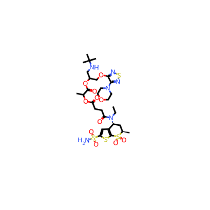 CCN(C(=O)CCC(=O)OC(C)C(=O)OC(CNC(C)(C)C)COc1nsnc1N1CCOCC1)[C@@H]1C[C@@H](C)S(=O)(=O)c2sc(S(N)(=O)=O)cc21